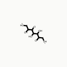 OCC(Cl)C(O)C(O)C(Cl)C(Cl)CO